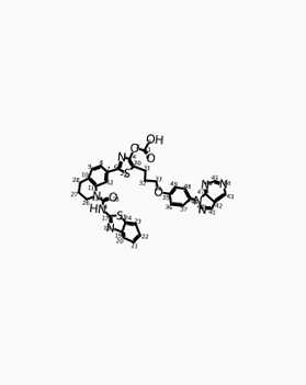 O=C(O)Oc1nc(-c2ccc3c(c2)N(C(=O)Nc2nc4ccccc4s2)CCC3)sc1CCCOc1ccc(-n2ncc3cncnc32)cc1